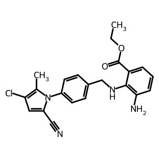 CCOC(=O)c1cccc(N)c1NCc1ccc(-n2c(C#N)cc(Cl)c2C)cc1